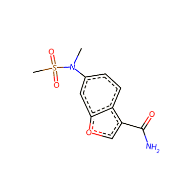 CN(c1ccc2c(C(N)=O)coc2c1)S(C)(=O)=O